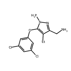 CCc1c(CN)nn(P)c1Oc1cc(Cl)cc(Cl)c1